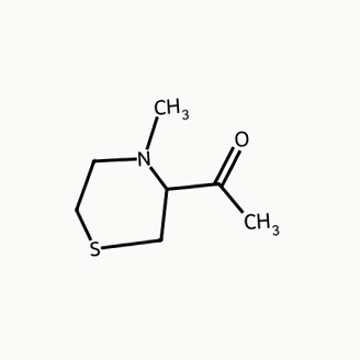 CC(=O)C1CSCCN1C